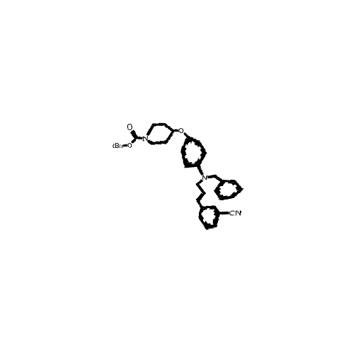 CC(C)(C)OC(=O)N1CCC(Oc2ccc(N(CC=Cc3cccc(C#N)c3)Cc3ccccc3)cc2)CC1